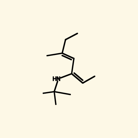 C/C=C(\C=C(/C)CC)NC(C)(C)C